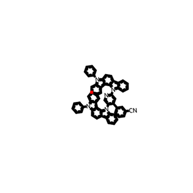 N#Cc1cccc(-c2cc(-n3c4ccccc4c4ccc5c(c6ccccc6n5-c5ccccc5)c43)ncc2-n2c3ccccc3c3ccc4c(c5ccccc5n4-c4ccccc4)c32)c1